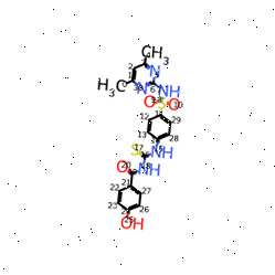 Cc1cc(C)nc(NS(=O)(=O)c2ccc(NC(=S)NC(=O)c3ccc(O)cc3)cc2)n1